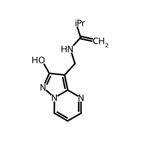 C=C(NCc1c(O)nn2cccnc12)C(C)C